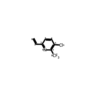 C=Cc1ccc(Cl)c(C(F)(F)F)n1